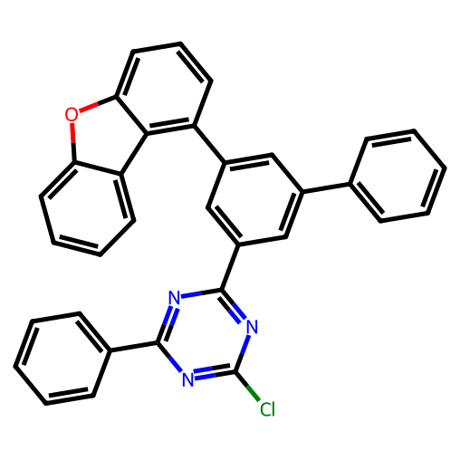 Clc1nc(-c2ccccc2)nc(-c2cc(-c3ccccc3)cc(-c3cccc4oc5ccccc5c34)c2)n1